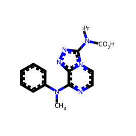 CC(C)N(C(=O)O)c1nnc2c(N(C)c3ccccc3)nccn12